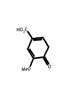 COC1=CC(C(=O)O)=CCC1=O